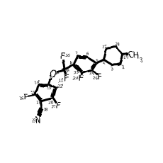 CC1CCC(c2ccc(C(F)(F)Oc3cc(F)c(C#N)c(F)c3)c(F)c2F)CC1